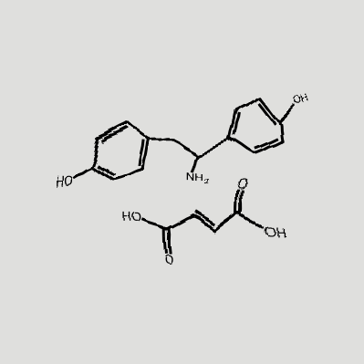 NC(Cc1ccc(O)cc1)c1ccc(O)cc1.O=C(O)/C=C/C(=O)O